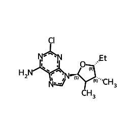 CC[C@H]1O[C@H](n2cnc3c(N)nc(Cl)nc32)C(C)[C@H]1C